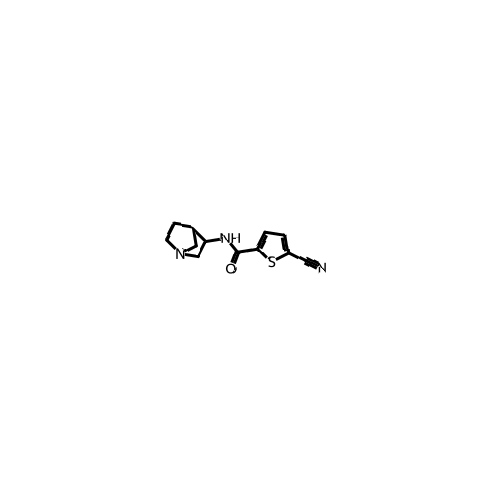 N#Cc1ccc(C(=O)NC2CN3CCC2C3)s1